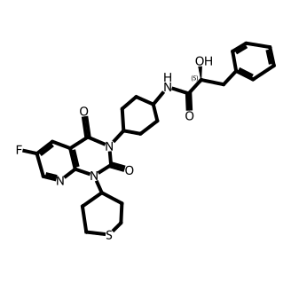 O=C(NC1CCC(n2c(=O)c3cc(F)cnc3n(C3CCSCC3)c2=O)CC1)[C@@H](O)Cc1ccccc1